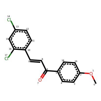 COc1ccc(C(=O)C=Cc2ccc(Cl)cc2Cl)cc1